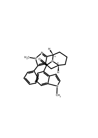 Cn1nc2c(c1-c1ccccc1)C[C@H]1CCC[C@@H]2N1C(=O)c1cccc2c1ccn2C